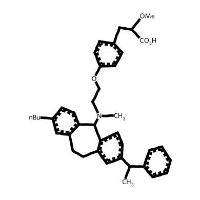 CCCCc1ccc2c(c1)CCc1cc(C(C)c3ccccc3)ccc1C2N(C)CCOc1ccc(CC(OC)C(=O)O)cc1